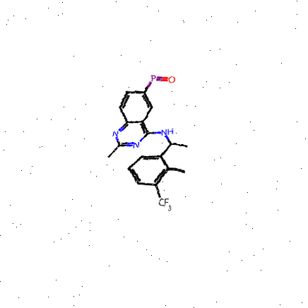 Cc1nc(NC(C)c2cccc(C(F)(F)F)c2C)c2cc(P=O)ccc2n1